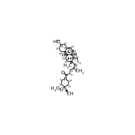 C#CC1(OC)CCN(C(=O)CC[C@@H](C)[C@H]2CC[C@H]3[C@@H]4CC=C5C[C@@H](O)CC[C@]5(C)[C@H]4CC[C@]23C)CC1